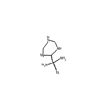 CCC(N)(N)C1NCNCN1